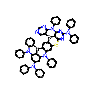 c1ccc(N(c2ccccc2)c2cc3c4c(c2)N(c2ccccc2)c2cc5c(cc2B4c2ccccc2N3c2ccccc2)B2c3cncnc3N(c3ccccc3)c3nc(N(c4ccccc4)c4ccccc4)nc(c32)S5)cc1